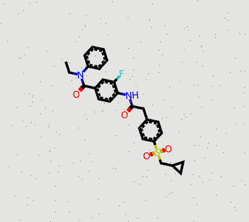 CCN(C(=O)c1ccc(NC(=O)Cc2ccc(S(=O)(=O)CC3CC3)cc2)c(F)c1)c1ccccc1